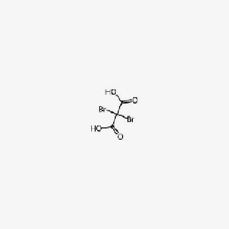 O=C(O)C(Br)(Br)C(=O)O